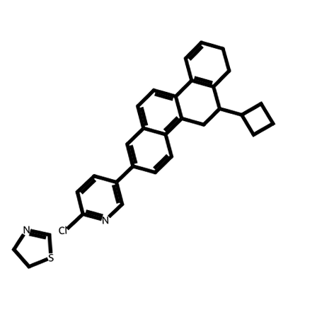 C1=NCCS1.Clc1ccc(-c2ccc3c4c(ccc3c2)C2=C(CCC=C2)C(C2CCC2)C4)cn1